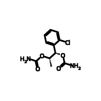 C[C@H](OC(N)=O)[C@@H](OC(N)=O)c1ccccc1Cl